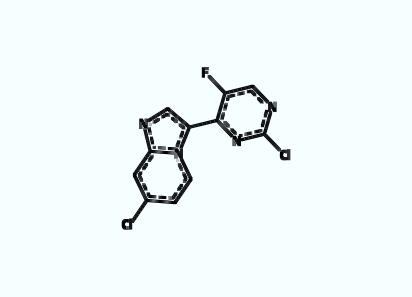 Fc1cnc(Cl)nc1-c1cnc2cc(Cl)ccn12